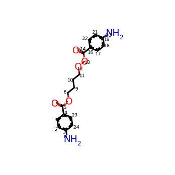 Nc1ccc(C(=O)OCCCCOOC(=O)c2ccc(N)cc2)cc1